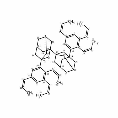 C/C=C\c1cc(/C=C\C)c(/C=C\C)c(C23CC4CC(C2)CC(C25CC6CC(CC(c7cc(/C=C\C)cc(/C=C\C)c7/C=C\C)(C6)C2)C5)(C4)C3)c1